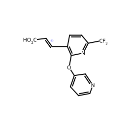 O=C(O)/C=C/c1ccc(C(F)(F)F)nc1Oc1cccnc1